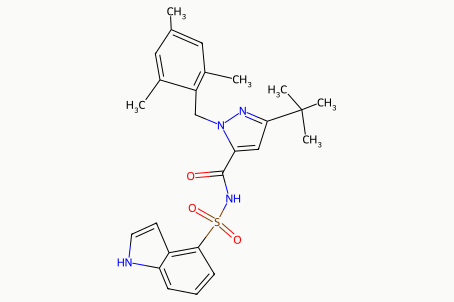 Cc1cc(C)c(Cn2nc(C(C)(C)C)cc2C(=O)NS(=O)(=O)c2cccc3[nH]ccc23)c(C)c1